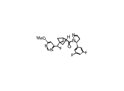 COc1cc(C(F)C23CC(C2)[C@@H](C(=O)N2N=CCC2c2cc(F)cc(F)c2)C3)ncn1